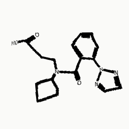 O=C(O)CCN(C(=O)c1ccccc1-n1nccn1)C1CCC1